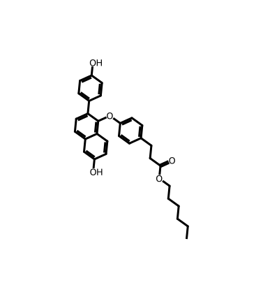 CCCCCCOC(=O)CCc1ccc(Oc2c(-c3ccc(O)cc3)ccc3cc(O)ccc23)cc1